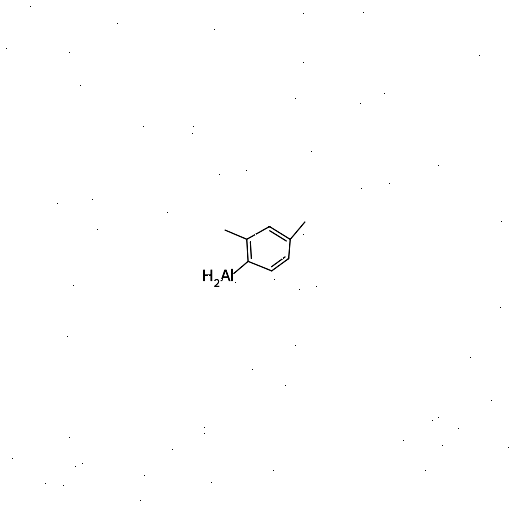 Cc1cc[c]([AlH2])c(C)c1